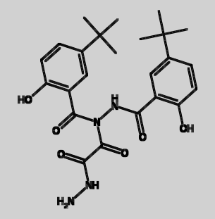 CC(C)(C)c1ccc(O)c(C(=O)NN(C(=O)C(=O)NN)C(=O)c2cc(C(C)(C)C)ccc2O)c1